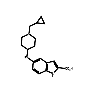 O=C(O)c1cc2cc(NC3CCN(CC4CC4)CC3)ccc2[nH]1